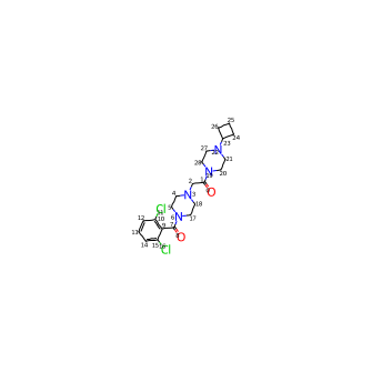 O=C(CN1CCN(C(=O)c2c(Cl)cccc2Cl)CC1)N1CCN(C2CCC2)CC1